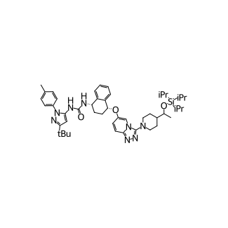 Cc1ccc(-n2nc(C(C)(C)C)cc2NC(=O)N[C@H]2CC[C@@H](Oc3ccc4nnc(N5CCC(C(C)O[Si](C(C)C)(C(C)C)C(C)C)CC5)n4c3)c3ccccc32)cc1